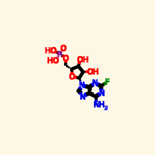 Nc1nc(F)nc2c1ncn2[C@@H]1O[C@H](COP(=O)(O)O)C(O)[C@H]1O